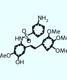 COc1cc(NS(=O)(=O)c2cccc(N)c2)c(C=Cc2cc(OC)c(OC)c(OC)c2)cc1O